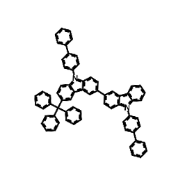 c1ccc(-c2ccc(-n3c4ccccc4c4cc(-c5ccc6c(c5)c5cc(C(c7ccccc7)(c7ccccc7)c7ccccc7)ccc5n6-c5ccc(-c6ccccc6)cc5)ccc43)cc2)cc1